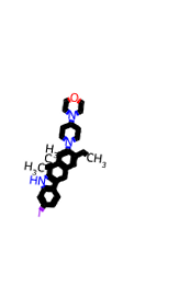 CCc1cc2c(cc1N1CCC(N3CCOCC3)CC1)C(C)(C)c1[nH]c3cc(I)ccc3c1C2